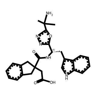 CC(C)(N)c1nnc([C@H](Cc2c[nH]c3ccccc23)NC(=O)C2(CC(=O)O)Cc3ccccc3C2)o1